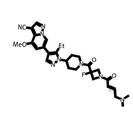 CCc1c(-c2cc(OC)c3c(C#N)cnn3c2)cnn1C1CCN(C(=O)C2(F)CN(C(=O)/C=C/CN(C)C)C2)CC1